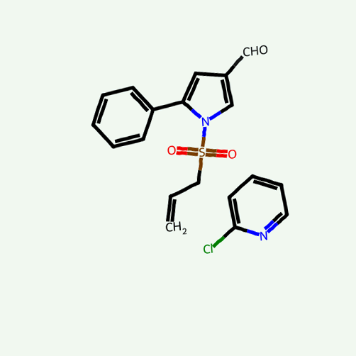 C=CCS(=O)(=O)n1cc(C=O)cc1-c1ccccc1.Clc1ccccn1